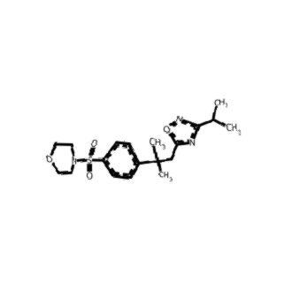 CC(C)c1noc(CC(C)(C)c2ccc(S(=O)(=O)N3CCOCC3)cc2)n1